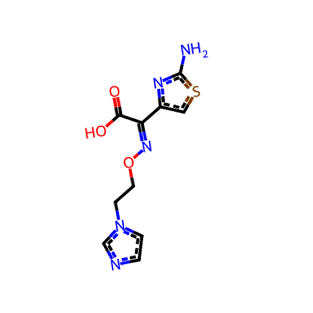 Nc1nc(C(=NOCCn2ccnc2)C(=O)O)cs1